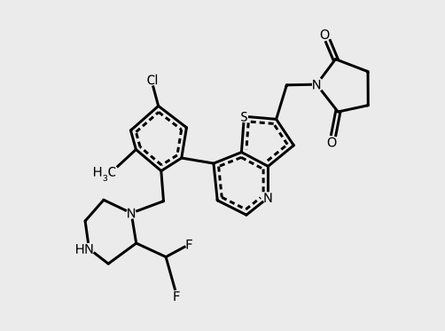 Cc1cc(Cl)cc(-c2ccnc3cc(CN4C(=O)CCC4=O)sc23)c1CN1CCNCC1C(F)F